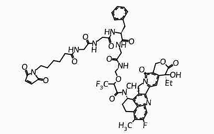 CC[C@@]1(O)C(=O)OCc2c1cc1n(c2=O)Cc2c-1nc1cc(F)c(C)c3c1c2[C@@H](N(C)C(=O)C(OCNC(=O)CNC(=O)[C@H](Cc1ccccc1)NC(=O)CNC(=O)CNC(=O)CCCCCN1C(=O)C=CC1=O)C(F)(F)F)CC3